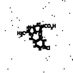 Cc1nc2sc(C(=O)O)cc2n1Cc1ccc(Cl)cc1Cl